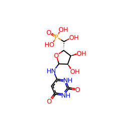 O=c1cc(NC2O[C@H](C(O)P(=O)(O)O)[C@@H](O)[C@H]2O)[nH]c(=O)[nH]1